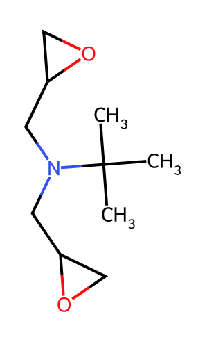 CC(C)(C)N(CC1CO1)CC1CO1